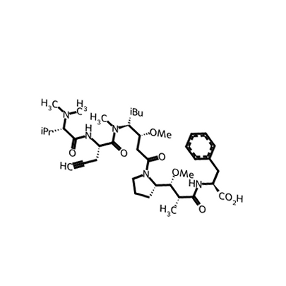 C#CC[C@H](NC(=O)[C@H](C(C)C)N(C)C)C(=O)N(C)[C@@H]([C@@H](C)CC)[C@@H](CC(=O)N1CCC[C@H]1[C@H](OC)[C@@H](C)C(=O)N[C@@H](Cc1ccccc1)C(=O)O)OC